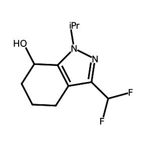 CC(C)n1nc(C(F)F)c2c1C(O)CCC2